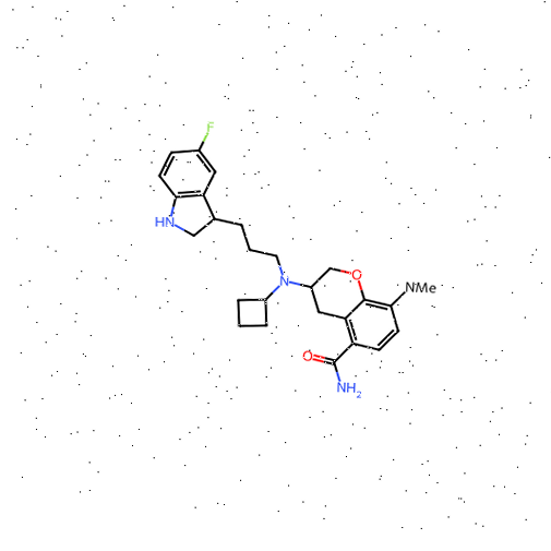 CNc1ccc(C(N)=O)c2c1OCC(N(CCCC1CNc3ccc(F)cc31)C1CCC1)C2